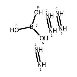 N=N.N=N.N=N.OB(O)O